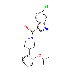 CC(C)Oc1ccccc1C1CCN(C(=O)c2c[nH]c3cc(Cl)ccc23)CC1